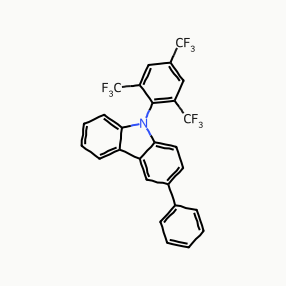 FC(F)(F)c1cc(C(F)(F)F)c(-n2c3ccccc3c3cc(-c4ccccc4)ccc32)c(C(F)(F)F)c1